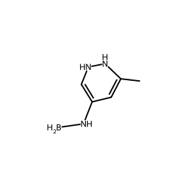 BNC1=CNNC(C)=C1